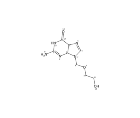 NC1=NC2C(N=CN2COCCO)C(=O)N1